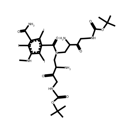 CNc1c(I)c(C(N)=O)c(I)c(C(=O)N(CC(N)C(=O)CNC(=O)OC(C)(C)C)CC(N)C(=O)CNC(=O)OC(C)(C)C)c1I